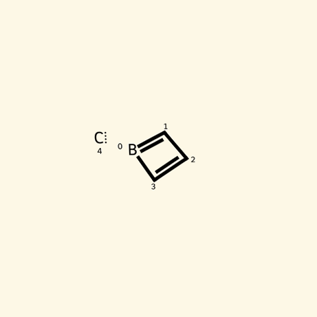 B1=CC=C1.[C]